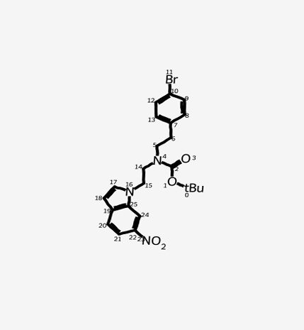 CC(C)(C)OC(=O)N(CCc1ccc(Br)cc1)CCn1ccc2ccc([N+](=O)[O-])cc21